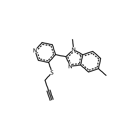 C#CCSc1cnccc1-c1nc2cc(C)ccc2n1C